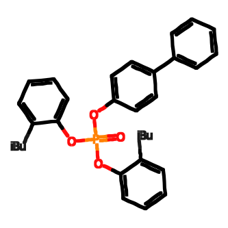 CCC(C)c1ccccc1OP(=O)(Oc1ccc(-c2ccccc2)cc1)Oc1ccccc1C(C)CC